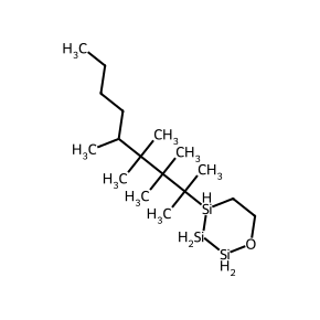 CCCCC(C)C(C)(C)C(C)(C)C(C)(C)[SiH]1CCO[SiH2][SiH2]1